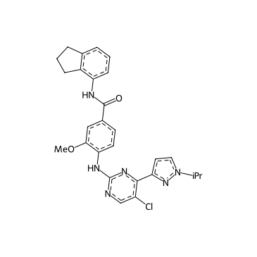 COc1cc(C(=O)Nc2cccc3c2CCC3)ccc1Nc1ncc(Cl)c(-c2ccn(C(C)C)n2)n1